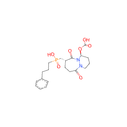 O=C(O)O[C@H]1CCCN2C(=O)CC[C@H](CP(=O)(O)CCCc3ccccc3)C(=O)N12